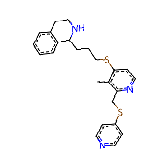 Cc1c(SCCCC2NCCc3ccccc32)ccnc1CSc1ccncc1